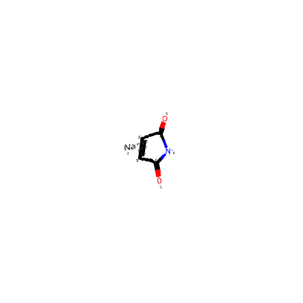 O=C1C=CC(=O)[N-]1.[Na+]